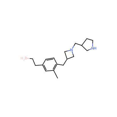 BCCc1ccc(CC2CN(CC3CCNC3)C2)c(C)c1